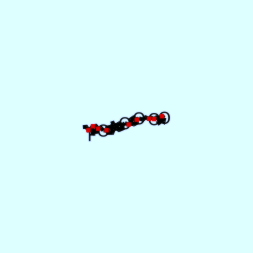 CCCc1ccc(COc2ccc3c(c2)C(C)c2cc(OCc4ccc(OCCCCOCC5(CC)COC5)cc4)ccc2-3)cc1F